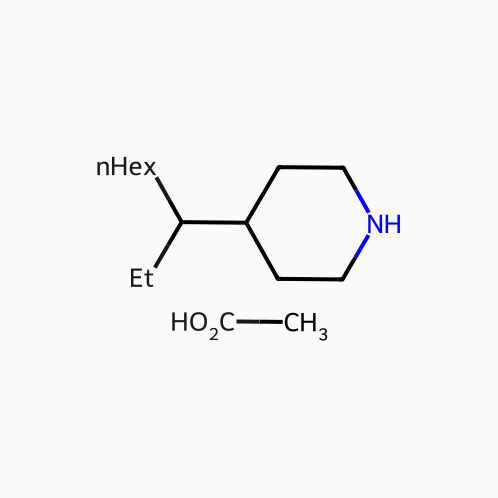 CC(=O)O.CCCCCCC(CC)C1CCNCC1